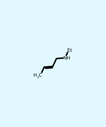 CC=CCNCC